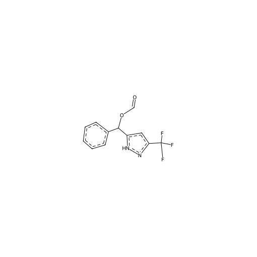 O=COC(c1ccccc1)c1cc(C(F)(F)F)n[nH]1